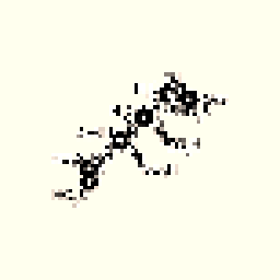 COc1cc(S(=O)(=O)O)c2c(c1)nc1c(C#N)c(C)c(N=Nc3cc(C)c(N=Nc4cc(NC(C)=O)c(N=Nc5nc6c(S(=O)(=O)O)cc7cc(S(=O)(=O)O)ccc7c6s5)cc4SCCCS(=O)(=O)O)cc3OCCCS(=O)(=O)O)c(O)n12